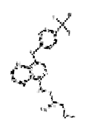 COC[C@@H](O)CNc1ncc(Oc2ccc(C(F)(F)F)cc2)c2nccnc12